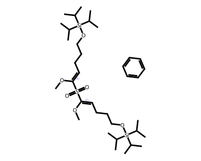 CO/C(=C\CCCO[Si](C(C)C)(C(C)C)C(C)C)S(=O)(=O)/C(=C/CCCO[Si](C(C)C)(C(C)C)C(C)C)OC.c1ccccc1